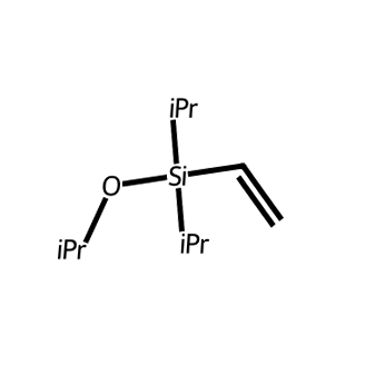 C=C[Si](OC(C)C)(C(C)C)C(C)C